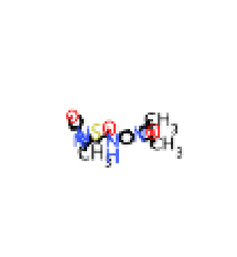 Cc1nn(C2CCOCC2)c2sc(C(=O)NC3CCC(N4CC(C)OC(C)C4)CC3)cc12